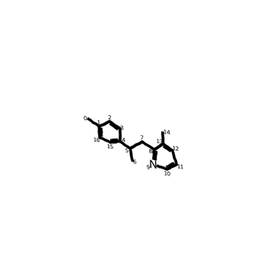 Cc1ccc(C(C)Cc2ncccc2C)cc1